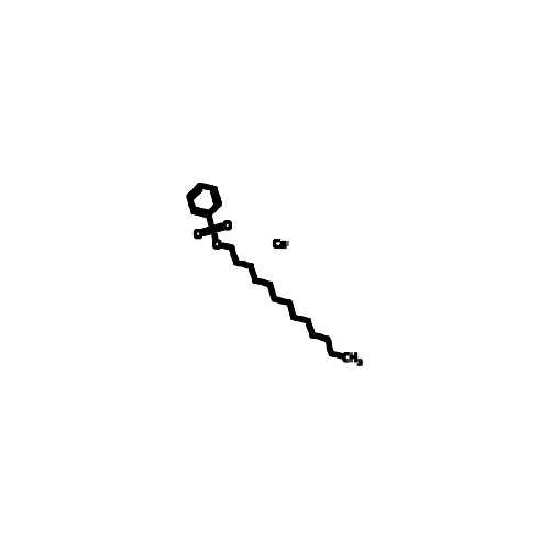 CCCCCCCCCCCCCOS(=O)(=O)c1ccccc1.[Ca]